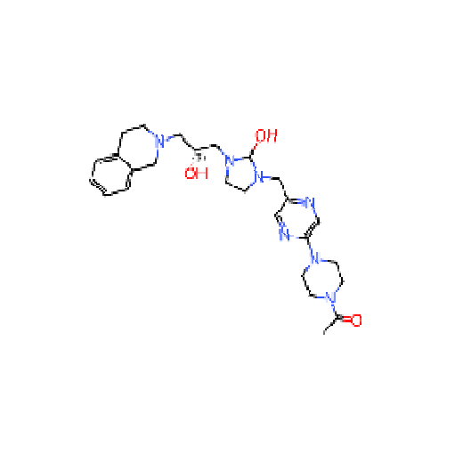 CC(=O)N1CCN(c2cnc(CN3CCN(C[C@H](O)CN4CCc5ccccc5C4)C3O)cn2)CC1